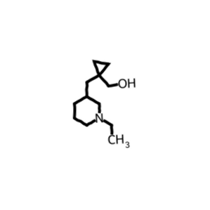 CCN1CCCC(CC2(CO)CC2)C1